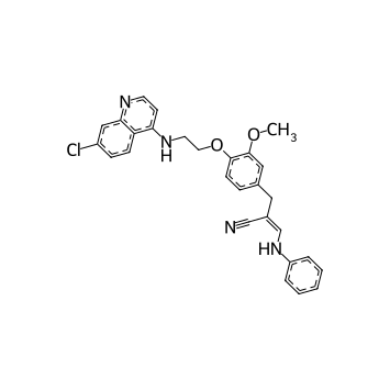 COc1cc(C/C(C#N)=C/Nc2ccccc2)ccc1OCCNc1ccnc2cc(Cl)ccc12